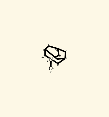 [O][N+]12CC3CC(CC(C3)C1)C2